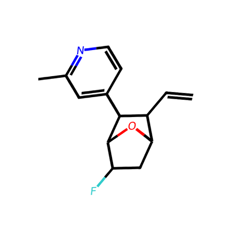 C=CC1C2CC(F)C(O2)C1c1ccnc(C)c1